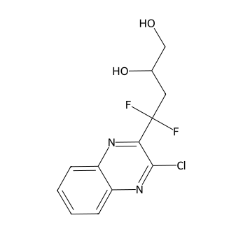 OCC(O)CC(F)(F)c1nc2ccccc2nc1Cl